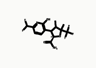 CC1C(c2ccc(C(F)F)nc2O)[C@H](C(N)=O)OC1(C)C(F)(F)F